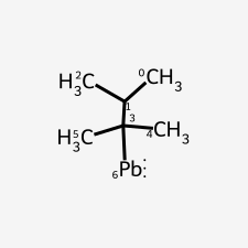 CC(C)[C](C)(C)[Pb]